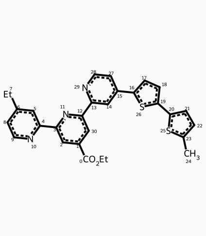 CCOC(=O)c1cc(-c2cc(CC)ccn2)nc(-c2cc(-c3ccc(-c4ccc(C)s4)s3)ccn2)c1